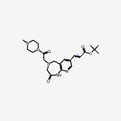 CN1CCN(C(=O)CN2CC(=O)Nc3ncc(/C=C/C(=O)OC(C)(C)C)cc3C2)CC1